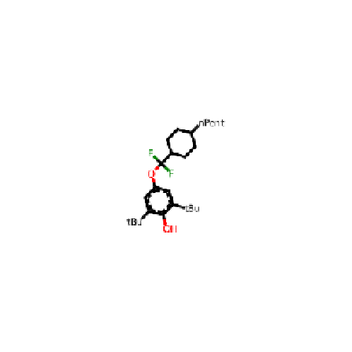 CCCCCC1CCC(C(F)(F)Oc2cc(C(C)(C)C)c(O)c(C(C)(C)C)c2)CC1